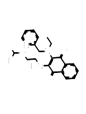 CCN(Cc1ccccn1)C1=C(NCCOC(F)F)C(=O)c2ccccc2C1=O